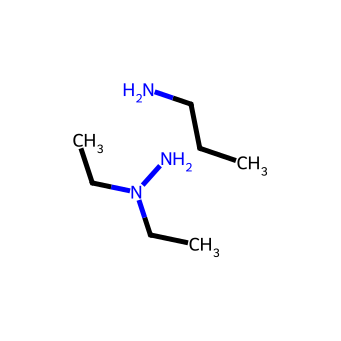 CCCN.CCN(N)CC